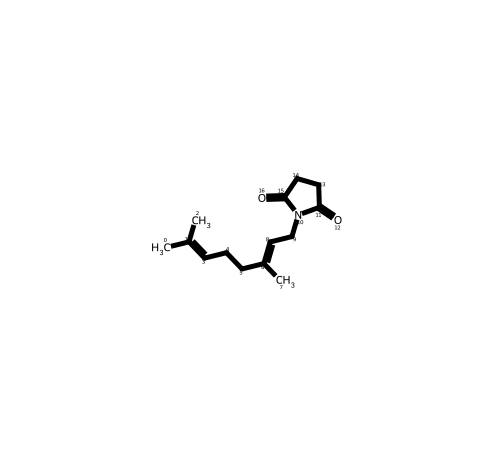 CC(C)=CCC/C(C)=C/CN1C(=O)CCC1=O